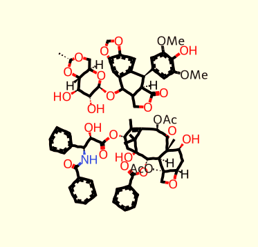 CC(=O)O[C@H]1C(=O)[C@@]2(C)[C@H]([C@H](OC(=O)c3ccccc3)[C@]3(O)C[C@H](OC(=O)[C@H](O)[C@@H](NC(=O)c4ccccc4)c4ccccc4)C(C)=C1C3(C)C)[C@]1(OC(C)=O)CO[C@@H]1C[C@@H]2O.COc1cc([C@@H]2c3cc4c(cc3C(O[C@@H]3O[C@@H]5CO[C@@H](C)O[C@H]5[C@H](O)[C@H]3O)C3COC(=O)[C@@H]32)OCO4)cc(OC)c1O